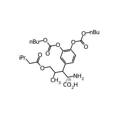 CCCCOC(=O)Oc1ccc(C(C(C)COC(=O)CC(C)C)[C@H](N)C(=O)O)cc1OC(=O)OCCCC